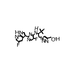 CC(C)(C)C(Cn1cc(CO)nn1)Nc1nc(-c2c[nH]c3ncc(F)cc23)ncc1F